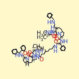 CC[C@H](NC)C(=O)N[C@@H]1C(=O)N2C(CC[C@@H]1CCNCc1ccccc1)CC[C@H]2C(=O)N[C@H](C(=O)NCCCCCCCC(=O)NC[C@H]1CC[C@H]2CC[C@@H](C(=O)NC(c3ccccc3)c3ccccc3)N2C(=O)[C@H]1NC(=O)[C@H](CC)NC)c1ccccc1